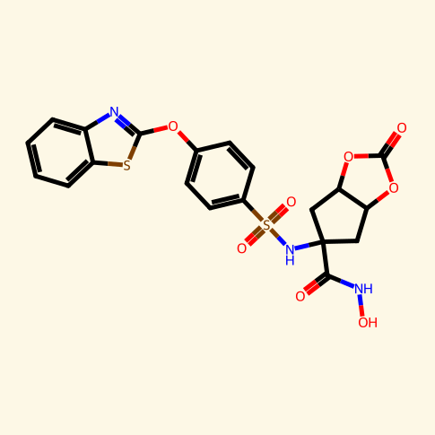 O=C1OC2CC(NS(=O)(=O)c3ccc(Oc4nc5ccccc5s4)cc3)(C(=O)NO)CC2O1